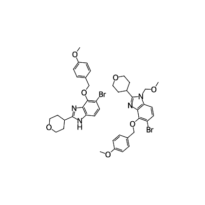 COCn1c(C2CCOCC2)nc2c(OCc3ccc(OC)cc3)c(Br)ccc21.COc1ccc(COc2c(Br)ccc3[nH]c(C4CCOCC4)nc23)cc1